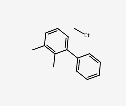 CCC.Cc1cccc(-c2ccccc2)c1C